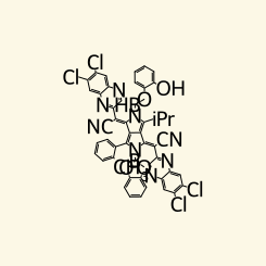 Cc1ccccc1-c1c2/c(=C(\C#N)c3cnc4cc(Cl)c(Cl)cc4n3)n(BOc3ccccc3O)c(C(C)C)c2/c(=C(\C#N)c2cnc3cc(Cl)c(Cl)cc3n2)n1B1Oc2ccccc2O1